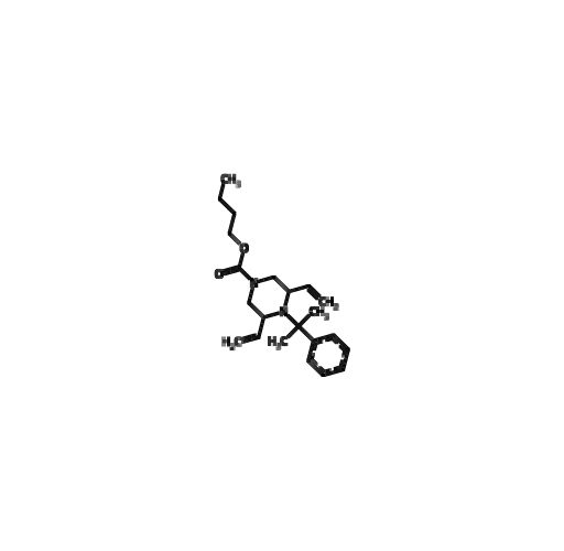 C=CC1CN(C(=O)OCCCC)CC(C=C)N1C(C)(C)c1ccccc1